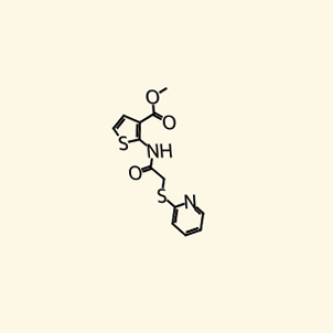 COC(=O)c1ccsc1NC(=O)CSc1ccccn1